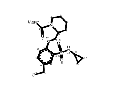 CNC(=O)N1CCCCC1COc1ccc(CCl)cc1S(=O)(=O)NC1CC1